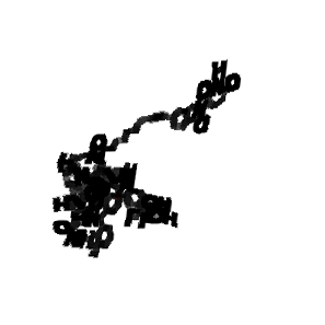 NC(=O)CCC(NC(=O)[C@@H]1CC[C@@H]2CCN(C(=O)CCCCCCC#Cc3ccc4c(c3)CN(C3CCC(=O)NC3=O)C4=O)C[C@H](NC(=O)c3cc4cc(C(F)(F)P(=O)(O)O)ccc4[nH]3)C(=O)N21)C(=O)NC(c1ccccc1)c1ccccc1